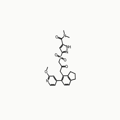 COc1cc(-c2ccc3c(c2CC(=O)CS(=O)(=O)c2cc(C(=O)N(C)C)[nH]n2)CCC3)ccn1